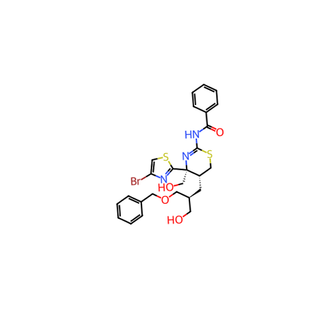 O=C(NC1=N[C@](CO)(c2nc(Br)cs2)[C@@H](C[C@@H](CO)COCc2ccccc2)CS1)c1ccccc1